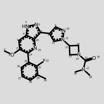 COc1cc2[nH]nc(-c3cnn(C4CN(C(=O)N(C)C)C4)c3)c2nc1-c1cccc(C)c1F